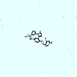 CCOC(=O)c1cccc(-n2c(C)ccc2-c2cc(Br)ccc2OCc2ccc(F)cc2F)c1